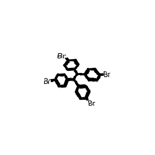 Brc1ccc(C(c2ccc(Br)cc2)C(c2ccc(Br)cc2)c2ccc(Br)cc2)cc1